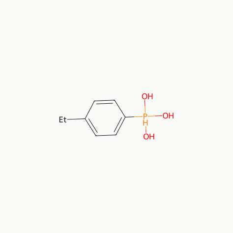 CCc1ccc([PH](O)(O)O)cc1